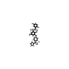 Cc1ccc(C)c(C(=O)Nc2cc(F)cc(CN3CCN(C(=O)C4CCCC4)[C@@H](C)C3)c2C)c1